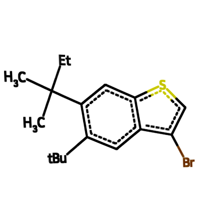 CCC(C)(C)c1cc2scc(Br)c2cc1C(C)(C)C